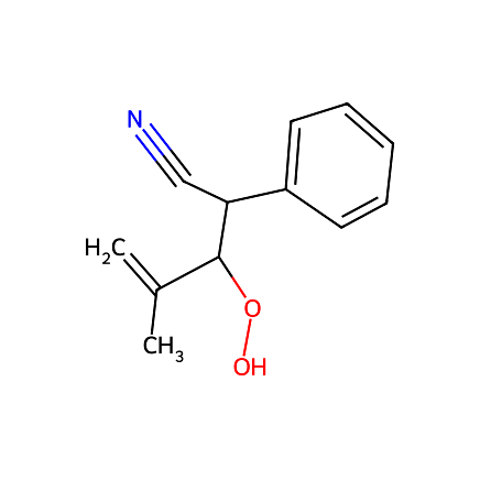 C=C(C)C(OO)C(C#N)c1ccccc1